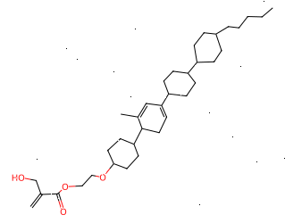 C=C(CO)C(=O)OCCOC1CCC(C2CC=C(C3CCC(C4CCC(CCCCC)CC4)CC3)C=C2C)CC1